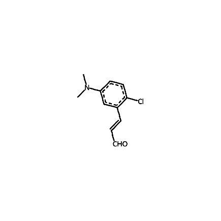 CN(C)c1ccc(Cl)c(C=CC=O)c1